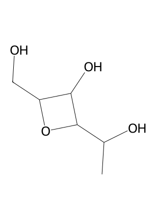 CC(O)C1OC(CO)C1O